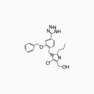 CCCc1nc(CO)c(Cl)n1Cc1ccc(-c2nnn[nH]2)cc1OCc1ccccc1